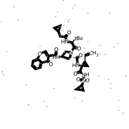 C=C[C@H]1C[C@]1(NC(=O)[C@@H]1C[C@@H](NC(=O)c2coc3ccccc3c2=O)CN1C(=O)[C@@H](NC(=O)CC1CC1)C(C)(C)C)C(=O)NS(=O)(=O)C1CC1